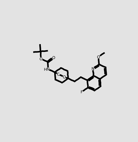 COc1ccc2ccc(F)c(CCC34CCC(NC(=O)OC(C)(C)C)(CC3)CO4)c2n1